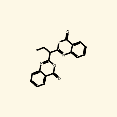 CCC(c1nc2ccccc2c(=O)o1)c1nc2ccccc2c(=O)o1